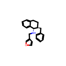 c1ccc(C[C@@H]2CCc3ccccc3[C@H]2NCc2ccoc2)cc1